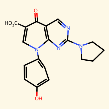 O=C(O)c1cn(-c2ccc(O)cc2)c2nc(N3CCCC3)ncc2c1=O